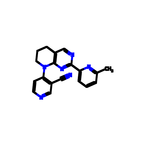 Cc1cccc(-c2ncc3c(n2)N(c2ccncc2C#N)CCC3)n1